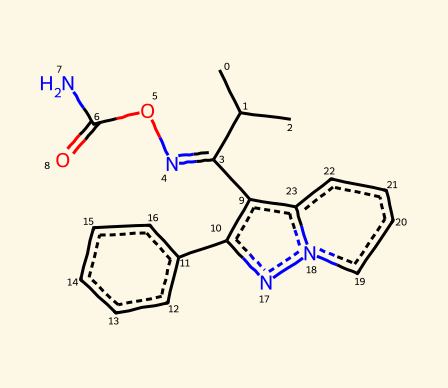 CC(C)C(=NOC(N)=O)c1c(-c2ccccc2)nn2ccccc12